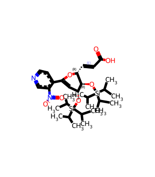 CC(C)[Si](O[C@H]1[C@H](O[Si](C(C)C)(C(C)C)C(C)C)C=C(c2ccncc2[N+](=O)[O-])O[C@@H]1/C=C/C(=O)O)(C(C)C)C(C)C